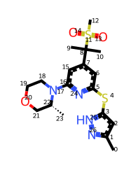 Cc1cc(Sc2cc(C(C)(C)S(C)(=O)=O)cc(N3CCOC[C@H]3C)n2)[nH]n1